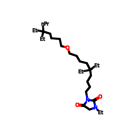 CCCC(CC)(CC)CCCCOCCCCC(CC)(CC)CCCCN1C(=O)CN(CC)C1=O